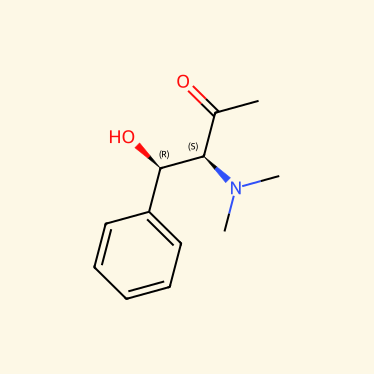 CC(=O)[C@H]([C@H](O)c1ccccc1)N(C)C